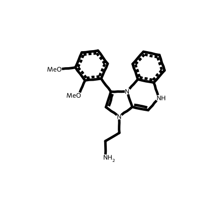 COc1cccc(C2=CN(CCN)C3=CNc4ccccc4N23)c1OC